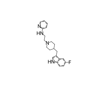 Fc1ccc2[nH]cc(CC3CCN(CCNc4ccccn4)CC3)c2c1